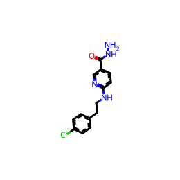 NNC(=O)c1ccc(NCCc2ccc(Cl)cc2)nc1